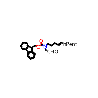 CCCCCC=CCCCN(CC=O)C(=O)OCC1c2ccccc2-c2ccccc21